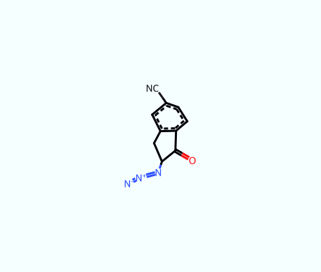 N#Cc1ccc2c(c1)CC(N=[N+]=[N-])C2=O